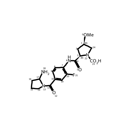 CO[C@@H]1C[C@H](C(=O)Nc2ccc(C(=O)N3CCCC3N)cc2F)N(C(=O)O)C1